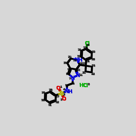 Cl.O=S(=O)(NCCn1cc2c(n1)C(C1(c3ccc(Cl)cc3)CCC1)NCC2)c1ccccc1